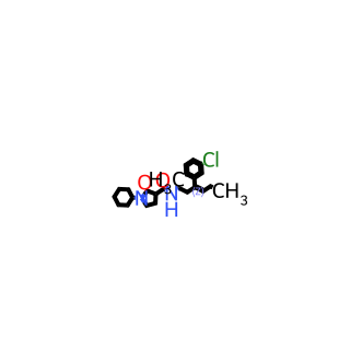 CC/C=C(/CCNC(=O)C1CCN(C2CCCCC2)C1=O)c1cc(Cl)ccc1C